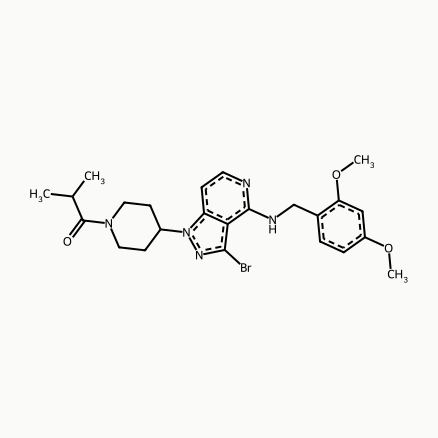 COc1ccc(CNc2nccc3c2c(Br)nn3C2CCN(C(=O)C(C)C)CC2)c(OC)c1